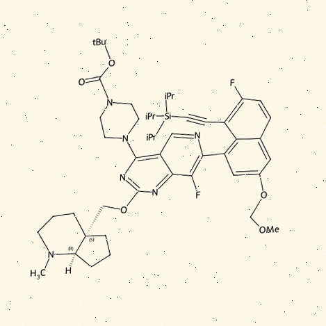 COCOc1cc(-c2ncc3c(N4CCN(C(=O)OC(C)(C)C)CC4)nc(OC[C@]45CCC[C@H]4N(C)CCC5)nc3c2F)c2c(C#C[Si](C(C)C)(C(C)C)C(C)C)c(F)ccc2c1